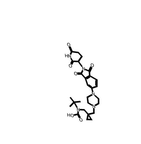 CC(C)(C)N(CC1(CN2CCN(c3ccc4c(c3)C(=O)N(C3CCC(=O)NC3=O)C4=O)CC2)CC1)C(=O)O